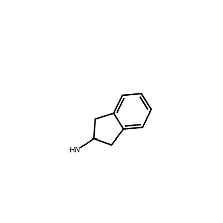 [NH]C1Cc2ccccc2C1